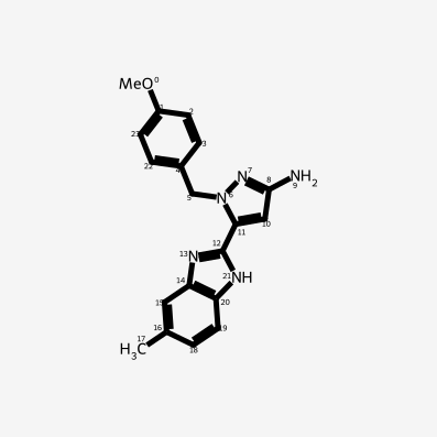 COc1ccc(Cn2nc(N)cc2-c2nc3cc(C)ccc3[nH]2)cc1